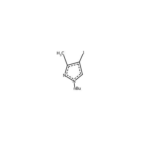 CCCCn1cc(I)c(C)n1